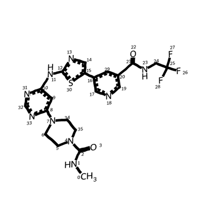 CNC(=O)N1CCN(c2cc(Nc3ncc(-c4cncc(C(=O)NCC(F)(F)F)c4)s3)ncn2)CC1